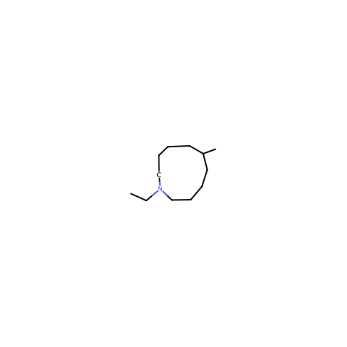 CCN1CCCCC(C)CCCC1